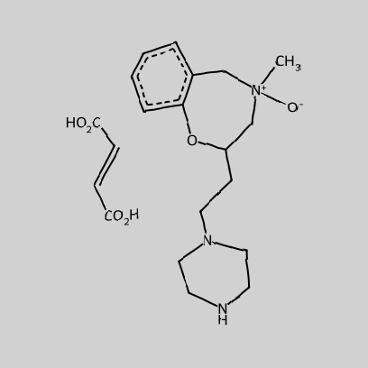 C[N+]1([O-])Cc2ccccc2OC(CCN2CCNCC2)C1.O=C(O)/C=C/C(=O)O